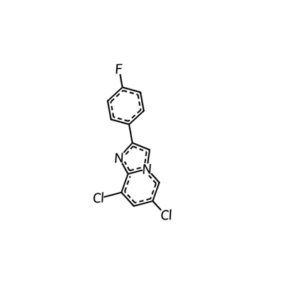 Fc1ccc(-c2cn3cc(Cl)cc(Cl)c3n2)cc1